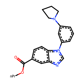 CCCOC(=O)c1ccc2c(c1)ncn2-c1cccc(N2CCCC2)c1